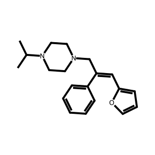 CC(C)N1CCN(C/C(=C/c2ccco2)c2ccccc2)CC1